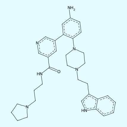 Nc1ccc(N2CCN(CCc3c[nH]c4ccccc34)CC2)c(-c2cncc(C(=O)NCCCN3CCCC3)c2)c1